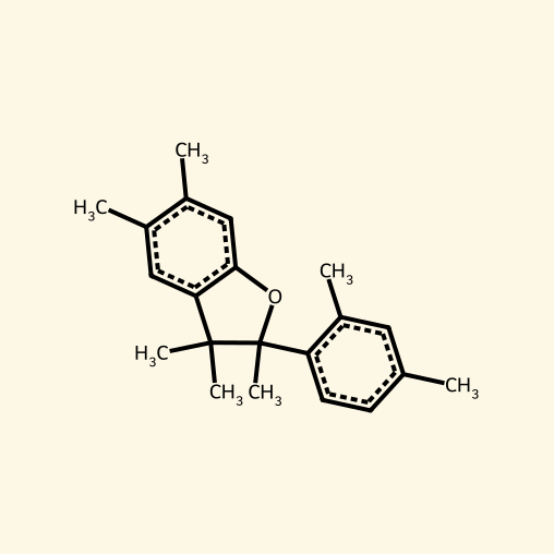 Cc1ccc(C2(C)Oc3cc(C)c(C)cc3C2(C)C)c(C)c1